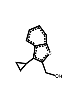 OCc1sc2ccccc2c1C1CC1